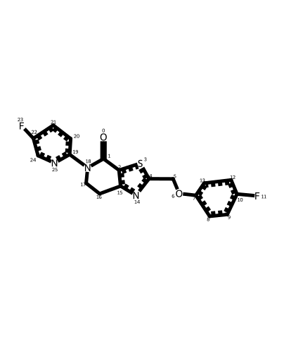 O=C1c2sc(COc3ccc(F)cc3)nc2CCN1c1ccc(F)cn1